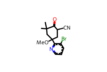 COC1(c2ncccc2Br)CC(C#N)C(=O)C(C)(C)C1